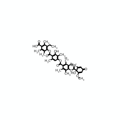 CCc1c(C)c(C(=O)O)c(C)c(C)c1OC(=O)c1c(C)cc(OC(=O)c2c(C)c(C)c(OC(=O)[C@@]3(O)C(C)=CC(=O)C=C3OC)c(Br)c2C)c(C)c1O